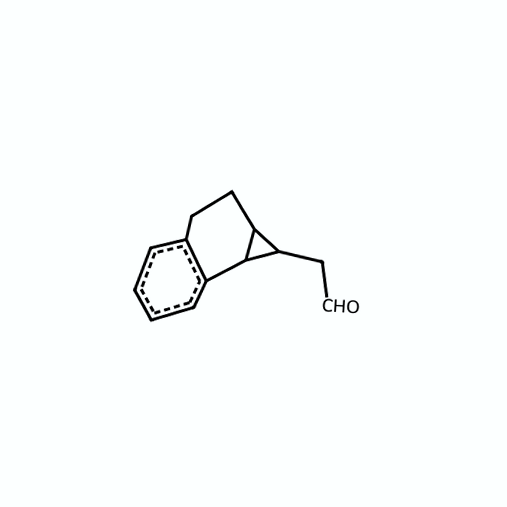 O=CCC1C2CCc3ccccc3C12